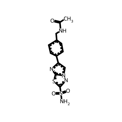 CC(=O)NCc1ccc(-c2cn3nc(S(N)(=O)=O)sc3n2)cc1